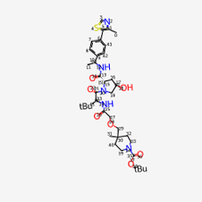 Cc1ncsc1-c1ccc([C@H](C)NC(=O)[C@@H]2C[C@@H](O)CN2C(=O)[C@@H](NC(=O)COCC2(C)CCN(C(=O)OC(C)(C)C)CC2)C(C)(C)C)cc1